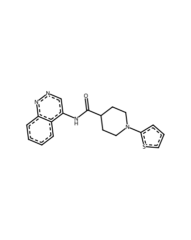 O=C(Nc1cnnc2ccccc12)C1CCN(c2cccs2)CC1